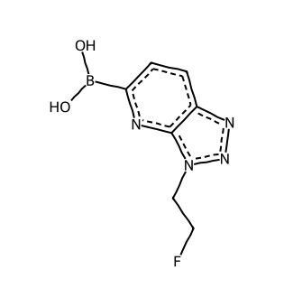 OB(O)c1ccc2nnn(CCF)c2n1